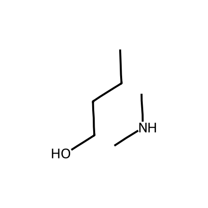 CCCCO.CNC